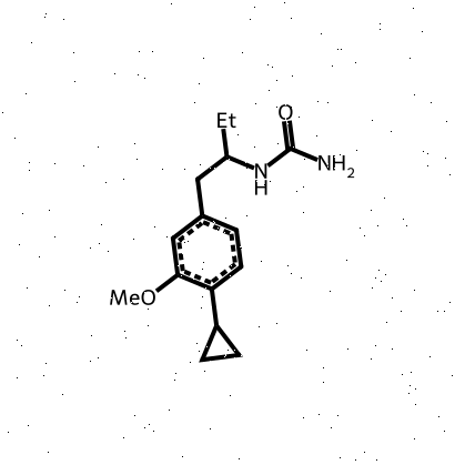 CCC(Cc1ccc(C2CC2)c(OC)c1)NC(N)=O